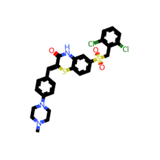 CN1CCN(c2ccc(C=C3Sc4ccc(S(=O)(=O)Cc5c(Cl)cccc5Cl)cc4NC3=O)cc2)CC1